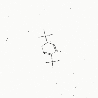 CC(C)(C)C1=NCC(C(C)(C)C)C=N1